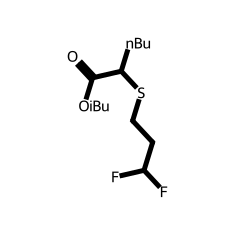 CCCCC(SCCC(F)F)C(=O)OCC(C)C